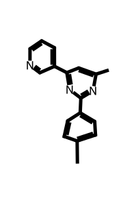 Cc1ccc(-c2nc(C)cc(-c3cccnc3)n2)cc1